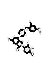 COc1ccc(CN2CCN(c3cc(F)cc4c3CN(C3CCC(=O)NC3=O)C4=O)CC2)c(C)c1